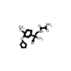 COc1ccc(C(C)(C#N)CNC(=O)C(N)=O)cc1OC1CCCC1